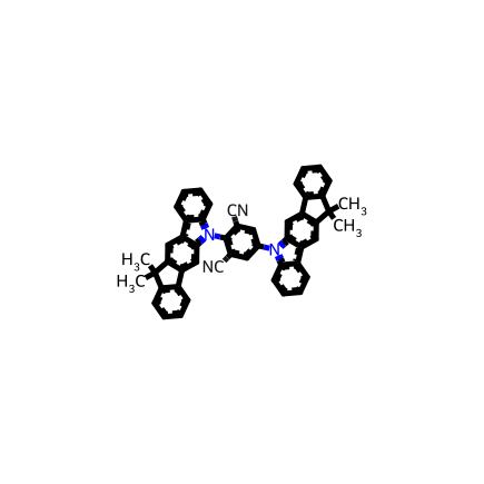 CC1(C)c2ccccc2-c2cc3c(cc21)c1ccccc1n3-c1cc(C#N)c(-n2c3ccccc3c3cc4c(cc32)-c2ccccc2C4(C)C)c(C#N)c1